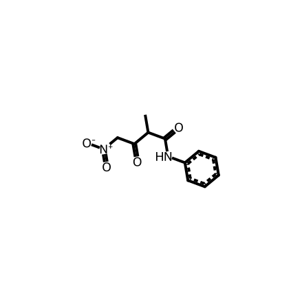 CC(C(=O)C[N+](=O)[O-])C(=O)Nc1ccccc1